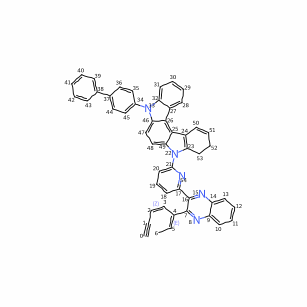 C#C/C=C\C(=C/C)c1nc2ccccc2nc1-c1cccc(-n2c3c(c4c5c6ccccc6n(-c6ccc(-c7ccccc7)cc6)c5ccc42)C=CCC3)n1